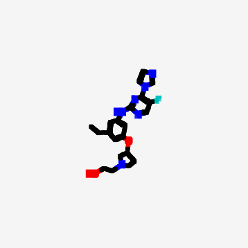 CCc1cc(Nc2ncc(F)c(-n3ccnc3)n2)cc(OC2CCN(CCO)C2)c1